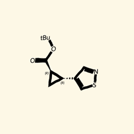 CC(C)(C)OC(=O)[C@@H]1C[C@H]1c1cnsc1